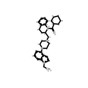 CCn1ccc2c(N3CCN(CC4CCc5ccccc5N4C(=O)C4CCCCC4)CC3)cccc21